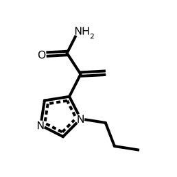 C=C(C(N)=O)c1cncn1CCC